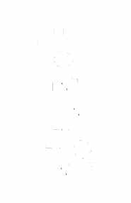 Cc1c(C(O)CN2CCC(NC(=O)c3ccc4c(c3)COC4O)CC2)ccc(F)c1C#N